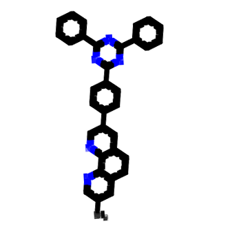 Bc1cnc2c(ccc3cc(-c4ccc(-c5nc(-c6ccccc6)nc(-c6ccccc6)n5)cc4)cnc32)c1